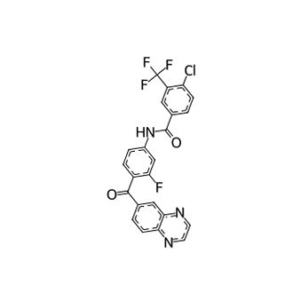 O=C(Nc1ccc(C(=O)c2ccc3nccnc3c2)c(F)c1)c1ccc(Cl)c(C(F)(F)F)c1